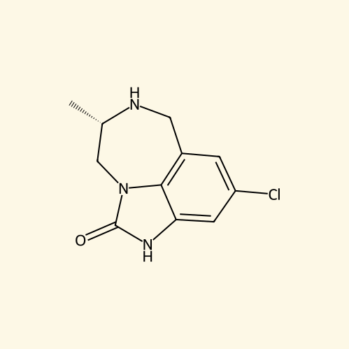 C[C@H]1Cn2c(=O)[nH]c3cc(Cl)cc(c32)CN1